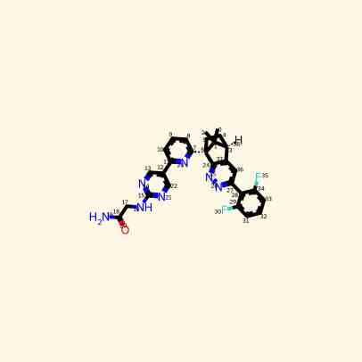 CC1(C)[C@H]2CC[C@]1(c1cccc(-c3cnc(NCC(N)=O)nc3)n1)c1nnc(-c3c(F)cccc3F)cc12